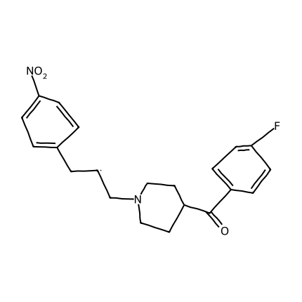 O=C(c1ccc(F)cc1)C1CCN(C[CH]Cc2ccc([N+](=O)[O-])cc2)CC1